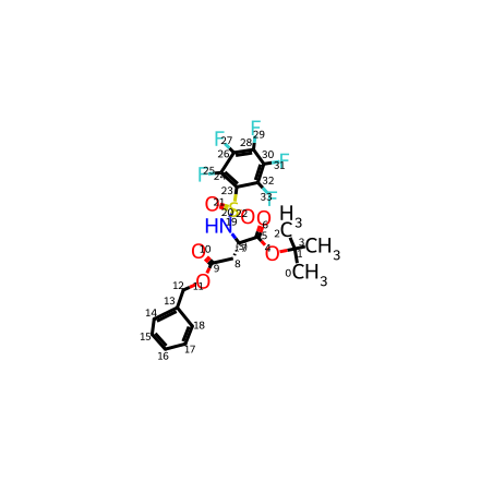 CC(C)(C)OC(=O)[C@H](CC(=O)OCc1ccccc1)NS(=O)(=O)c1c(F)c(F)c(F)c(F)c1F